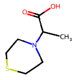 CC(C(=O)O)N1CCSCC1